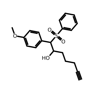 C#CCCCC(O)C(c1ccc(OC)cc1)S(=O)(=O)c1ccccc1